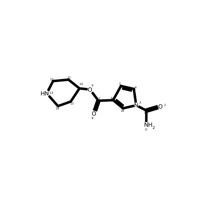 NC(=O)n1ccc(C(=O)OC2CCNCC2)c1